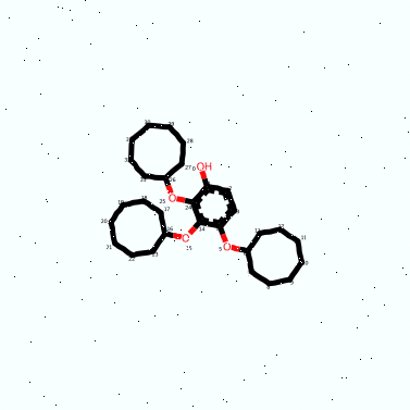 Oc1ccc(OC2CCCCCCC2)c(OC2CCCCCCC2)c1OC1CCCCCCC1